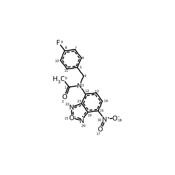 CC(=O)N(Cc1ccc(F)cc1)c1ccc([N+](=O)[O-])c2nonc12